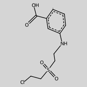 O=C(O)c1[c]ccc(NCCS(=O)(=O)CCCl)c1